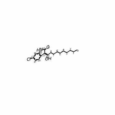 CCCCCCCCCC(O)=C1C(=O)Nc2cc(Cl)ccc21